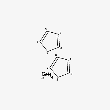 C1=CCC=C1.C1=CCC=C1.[GeH4]